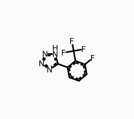 Fc1cccc(-c2nnn[nH]2)c1C(F)(F)F